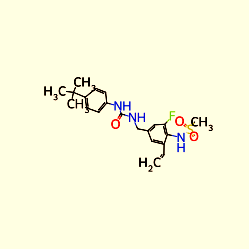 C=Cc1cc(CNC(=O)Nc2ccc(C(C)(C)C)cc2)cc(F)c1NS(C)(=O)=O